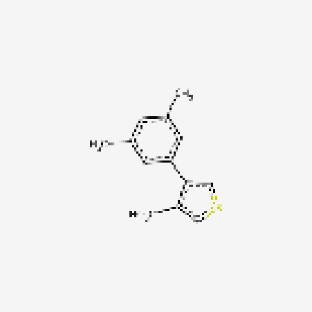 Cc1cc(C)cc(-c2cscc2C(=O)O)c1